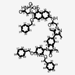 Cc1nn(CC(=O)Nc2ccc3c(F)c(N4CC(=O)NS4(=O)=O)c(OCc4ccccc4)cc3c2)c(C)c1-c1ccc2c(c1)n(C)c(=O)n2-c1ccc(OCc2ccccc2)nc1OCc1ccccc1